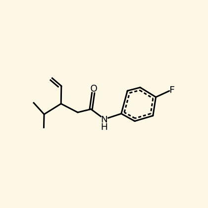 C=CC(CC(=O)Nc1ccc(F)cc1)C(C)C